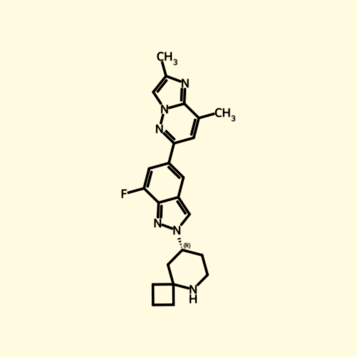 Cc1cn2nc(-c3cc(F)c4nn([C@@H]5CCNC6(CCC6)C5)cc4c3)cc(C)c2n1